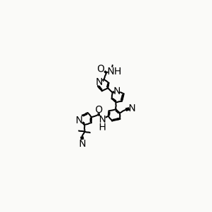 CNC(=O)c1cc(-c2cc(-c3cc(NC(=O)c4ccnc(C(C)(C)C#N)c4)ccc3C#N)ccn2)ccn1